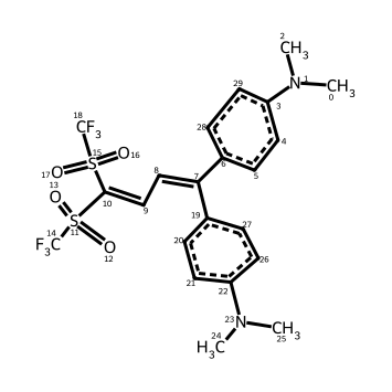 CN(C)c1ccc(C(=CC=C(S(=O)(=O)C(F)(F)F)S(=O)(=O)C(F)(F)F)c2ccc(N(C)C)cc2)cc1